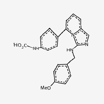 COc1ccc(CNc2ncc3cccc(-c4ccc(NC(=O)O)cc4)n23)cc1